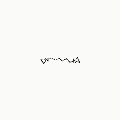 C(CCCN1CC1)CCN1CC1